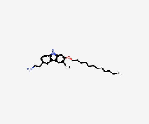 CCCCCCCCCCCCOc1cc2[nH]c3ccc(CCN)cc3c2cc1C